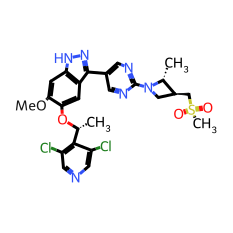 COc1cc2[nH]nc(-c3cnc(N4C[C@H](CS(C)(=O)=O)[C@H]4C)nc3)c2cc1O[C@H](C)c1c(Cl)cncc1Cl